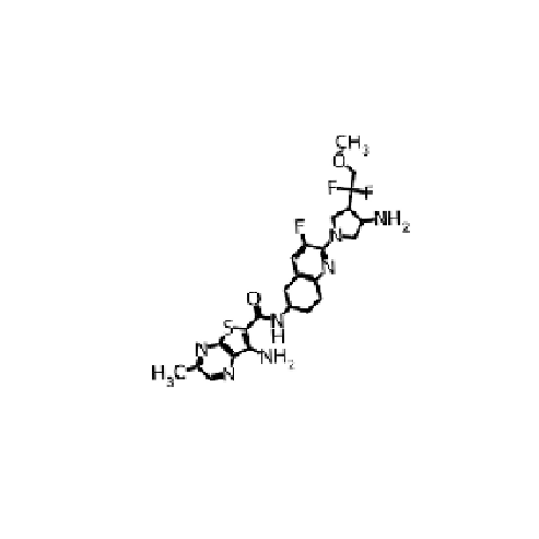 COCC(F)(F)C1CN(c2nc3c(cc2F)CC(NC(=O)c2sc4nc(C)cnc4c2N)CC3)CC1N